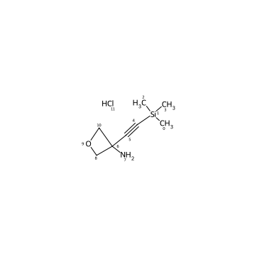 C[Si](C)(C)C#CC1(N)COC1.Cl